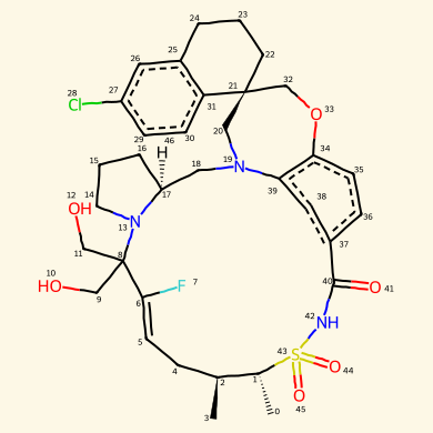 C[C@@H]1[C@@H](C)C/C=C(\F)C(CO)(CO)N2CCC[C@H]2CN2C[C@@]3(CCCc4cc(Cl)ccc43)COc3ccc(cc32)C(=O)NS1(=O)=O